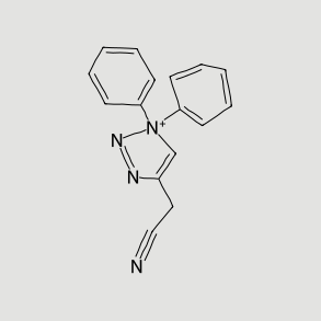 N#CCC1=C[N+](c2ccccc2)(c2ccccc2)N=N1